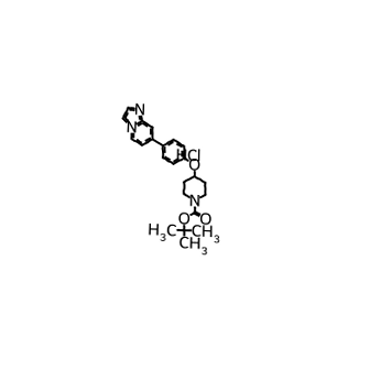 CC(C)(C)OC(=O)N1CCC(Oc2ccc(-c3ccn4ccnc4c3)cc2)CC1.Cl